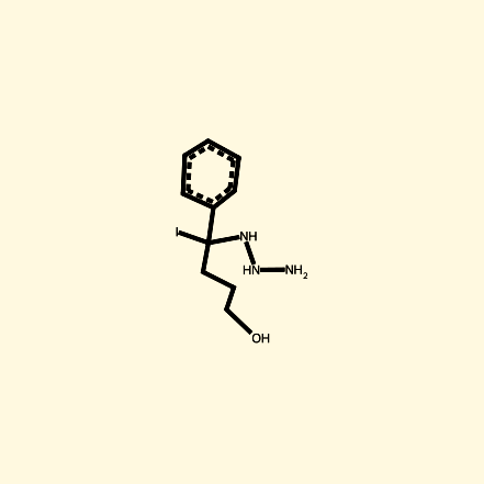 NNNC(I)(CCCO)c1ccccc1